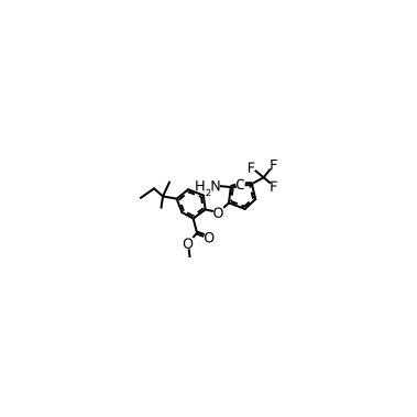 CCC(C)(C)c1ccc(Oc2ccc(C(F)(F)F)cc2N)c(C(=O)OC)c1